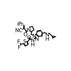 CC(C)C=C(C#N)C(=O)N1CCCC1Cn1c(NC(=O)c2ccc(C(F)F)s2)nc2cc(CNCC3CC3)ccc21